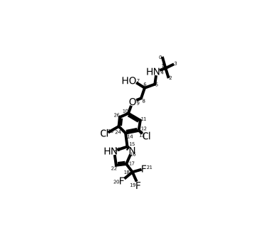 CC(C)(C)NCC(O)COc1cc(Cl)c(-c2nc(C(F)(F)F)c[nH]2)c(Cl)c1